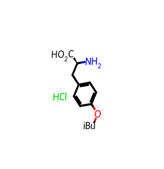 CCC(C)Oc1ccc(C[C@H](N)C(=O)O)cc1.Cl